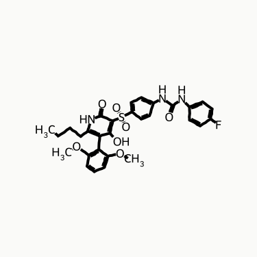 CCCCc1[nH]c(=O)c(S(=O)(=O)c2ccc(NC(=O)Nc3ccc(F)cc3)cc2)c(O)c1-c1c(OC)cccc1OC